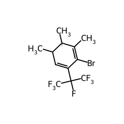 C[C]1C(C)=C(Br)C(C(F)(C(F)(F)F)C(F)(F)F)=CC1C